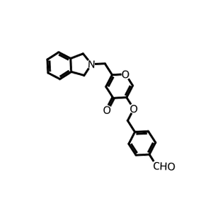 O=Cc1ccc(COc2coc(CN3Cc4ccccc4C3)cc2=O)cc1